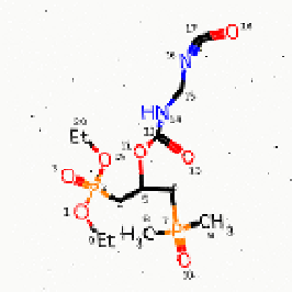 CCOP(=O)(CC(CP(C)(C)=O)OC(=O)NCN=C=O)OCC